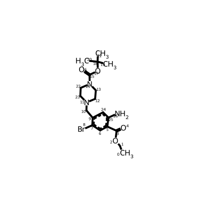 CCOC(=O)c1cc(Br)c(CN2CCN(C(=O)OC(C)(C)C)CC2)cc1N